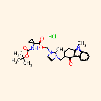 CC1N(COC(=O)C2(NC(=O)OC(C)(C)C)CC2)C=CN1CC1CCc2c(c3ccccc3n2C)C1=O.Cl